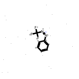 FC(F)(F)/N=N\c1ccccc1